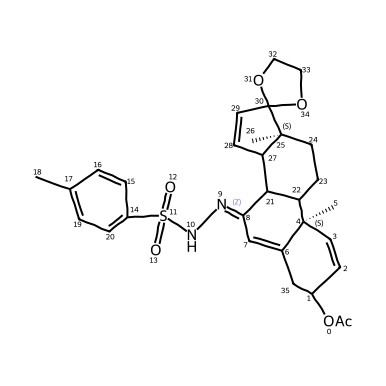 CC(=O)OC1C=C[C@@]2(C)C(=C/C(=N\NS(=O)(=O)c3ccc(C)cc3)C3C2CC[C@@]2(C)C3C=CC23OCCO3)C1